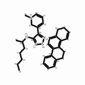 C1=Cc2c(ccc3c2CCc2ccccc2-3)CC1.CCCCCC(C)Oc1nsnc1C1=CC=CN(C)C1